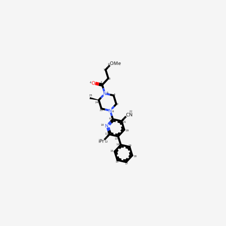 COCCC(=O)N1CCN(c2nc(C(C)C)c(-c3ccccc3)cc2C#N)C[C@H]1C